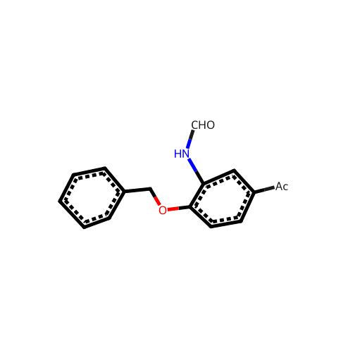 CC(=O)c1ccc(OCc2ccccc2)c(NC=O)c1